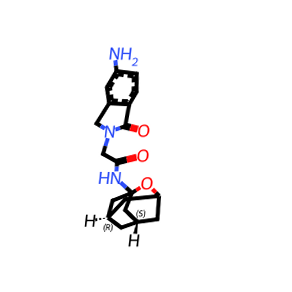 Nc1ccc2c(c1)CN(CC(=O)NC13C[C@@H]4CC(C[C@@H](C4)C1)O3)C2=O